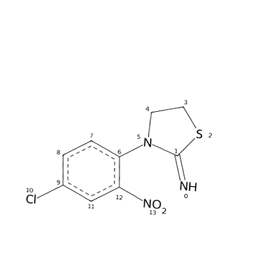 N=C1SCCN1c1ccc(Cl)cc1[N+](=O)[O-]